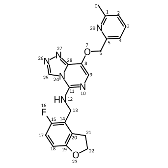 Cc1cccc(COc2cnc(NCc3c(F)ccc4c3CCO4)n3cnnc23)n1